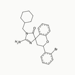 NC1=NC2(CC(c3ccccc3Br)Oc3ccccc32)C(=O)N1CC1CCCCC1